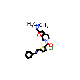 CN(C)Cc1cc2c(o1)CN(C(=O)c1ccc(/C=C/c3ccccc3)s1)CC2.Cl